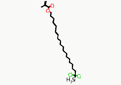 C=C(C)C(=O)OCCCCCCCCCCCCCCCCCCCC([SiH3])(Cl)Cl